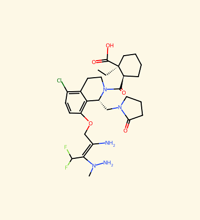 CC[C@]1(C(=O)O)CCCC[C@H]1C(=O)N1CCc2c(Cl)ccc(OC/C(N)=C(\C(F)F)N(C)N)c2[C@H]1CN1CCCC1=O